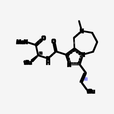 CNC(=O)[C@@H](NC(=O)c1nc(/C=C/C(C)(C)C)n2c1CN(C)CCC2)C(C)(C)C